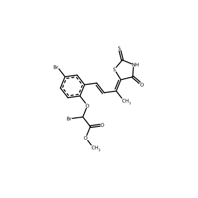 COC(=O)C(Br)Oc1ccc(Br)cc1C=CC(C)=C1SC(=S)NC1=O